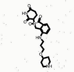 O=C1CCC([N+]2([O-])Cc3c(NCCCOC4CCNCC4)cccc3C2=O)C(=O)N1